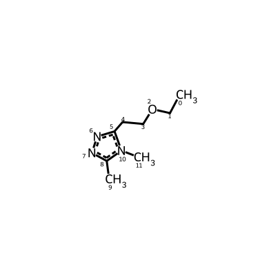 CCOCCc1nnc(C)n1C